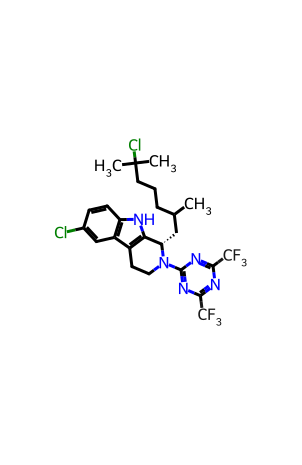 CC(CCCC(C)(C)Cl)C[C@H]1c2[nH]c3ccc(Cl)cc3c2CCN1c1nc(C(F)(F)F)nc(C(F)(F)F)n1